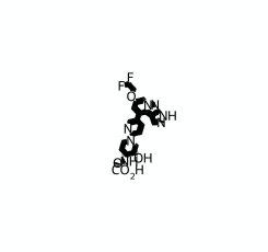 O=C(O)ON[C@H]1CCN(c2ccc(-c3cc(OCC(F)F)cn4nc5[nH]ncc5c34)cn2)C[C@@H]1O